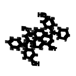 CC(C)c1cc(N(c2ccccc2)c2ccc(O)cc2)c2ccc3c(C(C)C)cc(N(c4ccccc4)c4ccc(O)cc4)c4ccc1c2c34